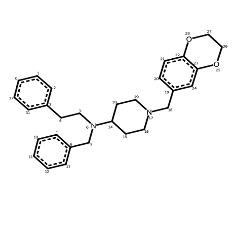 c1ccc(CCN(Cc2ccccc2)C2CCN(Cc3ccc4c(c3)OCCO4)CC2)cc1